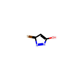 OC1=CC(=S)N=N1